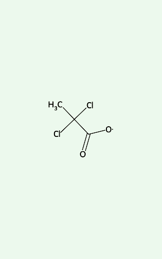 CC(Cl)(Cl)C([O])=O